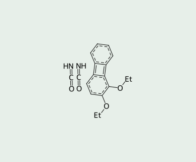 CCOc1ccc2c(c1OCC)=c1ccccc1=2.N=C=O.N=C=O